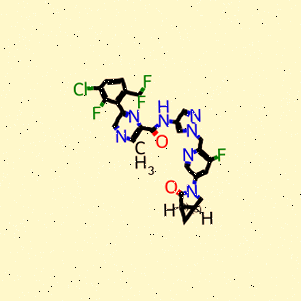 Cc1ncc(-c2c(C(F)F)ccc(Cl)c2F)nc1C(=O)Nc1cnn(Cc2ncc(N3C[C@H]4C[C@H]4C3=O)cc2F)c1